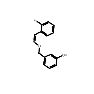 CCc1ccccc1/[C]=N\OCc1cccc(C#N)c1